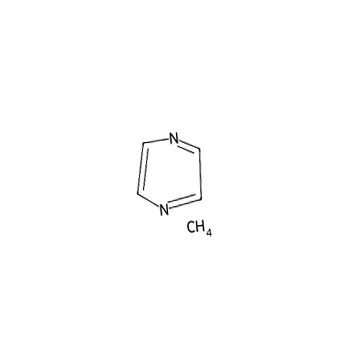 C.c1cnccn1